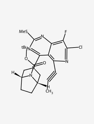 CC#Cc1nc(Cl)c(F)c2nc(SC)nc(N3C[C@H]4CC[C@@H](C3)N4C(=O)OC(C)(C)C)c12